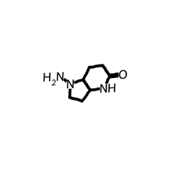 NN1CCC2NC(=O)CCC21